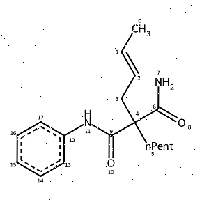 C/C=C/CC(CCCCC)(C(N)=O)C(=O)Nc1ccccc1